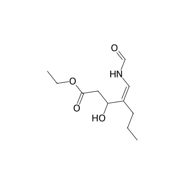 CCCC(=CNC=O)C(O)CC(=O)OCC